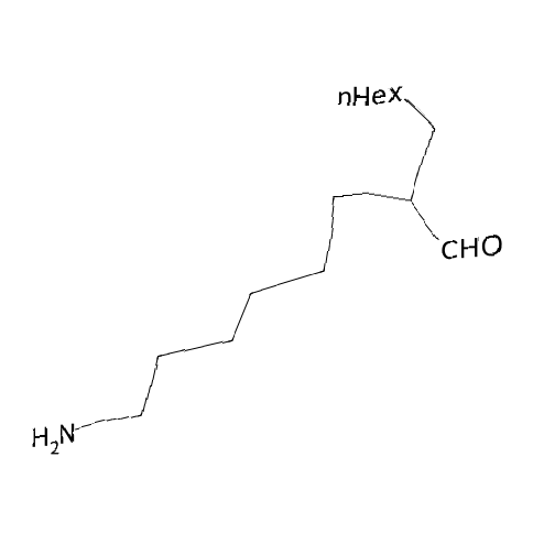 CCCCCCCC(C=O)CCCCCCN